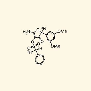 [2H]C([2H])(c1ccccc1)S(=O)(=O)OC1=C(N)O[C@]([2H])(c2cc(OC)cc(OC)c2)C1=O